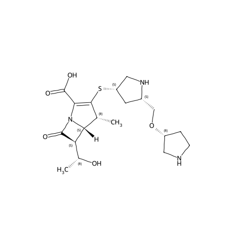 C[C@@H](O)[C@H]1C(=O)N2C(C(=O)O)=C(S[C@@H]3CN[C@H](CO[C@@H]4CCNC4)C3)[C@H](C)[C@H]12